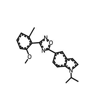 COc1cccc(C)c1-c1noc(-c2ccc3c(ccn3C(C)C)c2)n1